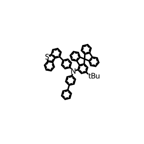 CC(C)(C)c1cc(N(c2ccc(-c3ccccc3)cc2)c2ccc(-c3cccc4sc5ccccc5c34)cc2)c2c(c1)C1(c3ccccc3-c3ccccc31)c1ccccc1-2